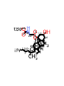 CC(C)CCC[C@@H](C)[C@H]1CC[C@H]2[C@@H]3CC=C4C[C@@H](O)CC(OC(=O)CNC(=O)OC(C)(C)C)[C@]4(C)[C@H]3CC[C@]12C